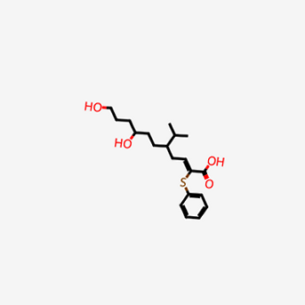 CC(C)C(C/C=C(\Sc1ccccc1)C(=O)O)CCC(O)CCCO